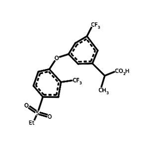 CCS(=O)(=O)c1ccc(Oc2cc(C(C)C(=O)O)cc(C(F)(F)F)c2)c(C(F)(F)F)c1